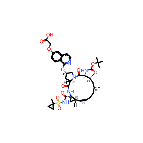 C[C@@H]1CC/C=C\[C@@H]2C[C@@]2(C(=O)NS(=O)(=O)C2(C)CC2)NC(=O)[C@@H]2C[C@@H](Oc3nccc4cc(OCC(=O)O)ccc34)CN2C(=O)[C@@H](NC(=O)OC(C)(C)C)[C@H](C)C1